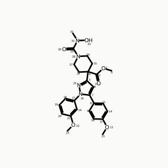 COC(=O)C1(c2cc(-c3ccc(OC)cc3)n(-c3cccc(OC)c3)n2)CCN(C(=O)N(C)O)CC1